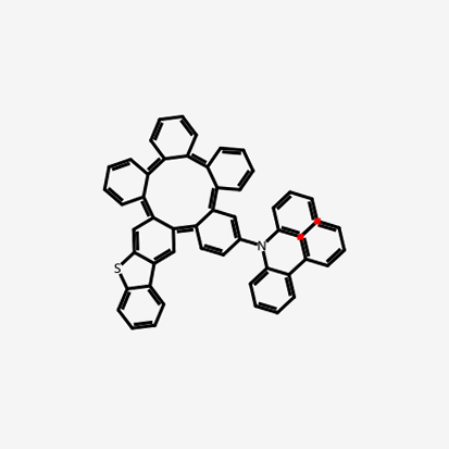 c1ccc(-c2ccccc2N(c2ccccc2)c2ccc3c(c2)c2ccccc2c2ccccc2c2ccccc2c2cc4sc5ccccc5c4cc32)cc1